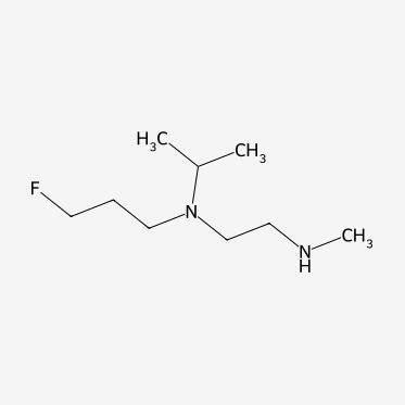 CNCCN(CCCF)C(C)C